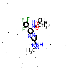 Cc1n[nH]c(-c2ccn3c4c(nc3c2)C[C@H](c2cc(F)c(F)cc2F)[C@@H](NC(=O)OC(C)(C)C)C4)n1